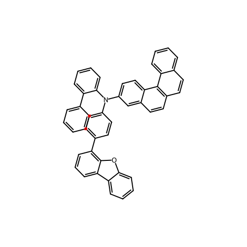 c1ccc(-c2ccccc2N(c2ccc(-c3cccc4c3oc3ccccc34)cc2)c2ccc3c(ccc4ccc5ccccc5c43)c2)cc1